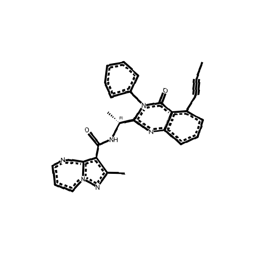 CC#Cc1cccc2nc([C@@H](C)NC(=O)c3c(C)nn4cccnc34)n(-c3ccccc3)c(=O)c12